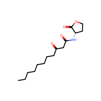 CCCCCCCCC(=O)CC(=O)N[C@H]1CCOC1=O